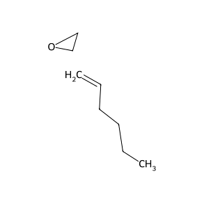 C1CO1.C=CCCCC